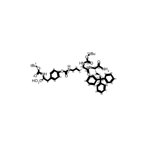 CC(C)(C)OC(=O)N[C@@H](Cc1ccc(OC(=O)NCCC[C@H](NC(=O)OC(C)(C)C)C(=O)N[C@@H](CSC(c2ccccc2)(c2ccccc2)c2ccccc2)C(N)=O)cc1)C(=O)O